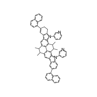 CC1c2cc3c4c(n(-c5cccnc5)c3c3c2-c2c(cc5c6cc(-c7cccc8ccccc78)ccc6n(-c6cccnc6)c5c2C(C)C3C)C1C)CCC(c1cccc2ccccc12)=C4